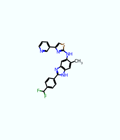 Cc1cc2[nH]c(-c3ccc(C(F)F)cc3)nc2cc1Nc1nc(-c2cccnc2)cs1